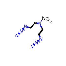 [N-]=[N+]=NCCN(CCN=[N+]=[N-])[N+](=O)[O-]